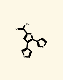 CCCCCCCCC(=O)c1cc(-c2ccsc2)c(-c2ccsc2)s1